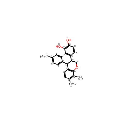 COc1ccc(C2c3ccc(OC)c(C)c3OCC2c2ccc(O)c(O)c2)cc1